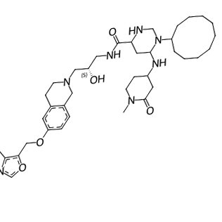 Cc1ncoc1COc1ccc2c(c1)CCN(C[C@@H](O)CNC(=O)C1CC(NC3CCN(C)C(=O)C3)N(C3CCCCCCCCC3)CN1)C2